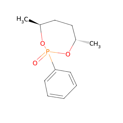 C[C@H]1CC[C@H](C)OP(=O)(c2ccccc2)O1